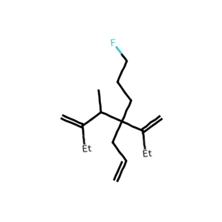 C=CCC(CCCF)(C(=C)CC)C(C)C(=C)CC